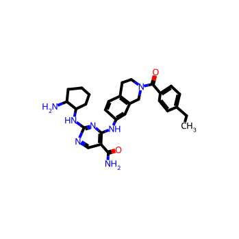 CCc1ccc(C(=O)N2CCc3ccc(Nc4nc(NC5CCCCC5N)ncc4C(N)=O)cc3C2)cc1